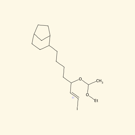 CCOC(C)OC(/C=C/I)CCCCC1CCC2CCC1C2